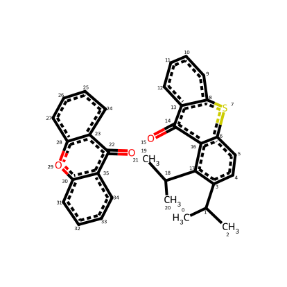 CC(C)c1ccc2sc3ccccc3c(=O)c2c1C(C)C.O=c1c2ccccc2oc2ccccc12